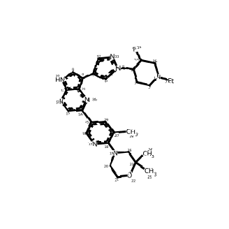 CCN1CCC(n2cc(-c3c[nH]c4ncc(-c5cnc(N6CCOC(C)(C)C6)c(C)c5)nc34)cn2)C(F)C1